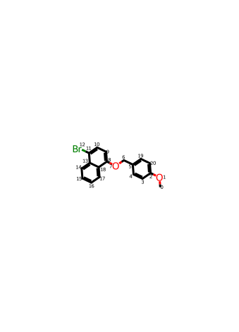 COc1ccc(COc2ccc(Br)c3ccccc23)cc1